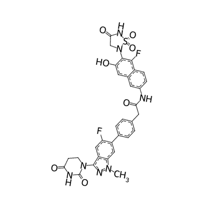 Cn1nc(N2CCC(=O)NC2=O)c2cc(F)c(-c3ccc(CC(=O)Nc4ccc5c(F)c(N6CC(=O)NS6(=O)=O)c(O)cc5c4)cc3)cc21